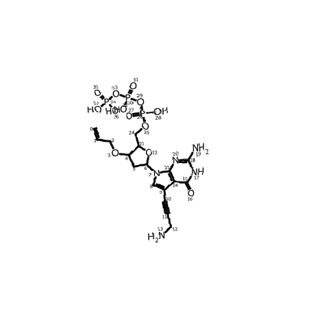 C=CCOC1CC(n2cc(C#CCN)c3c(=O)[nH]c(N)nc32)OC1COP(=O)(O)OP(=O)(O)OP(=O)(O)O